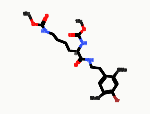 COc1cc(CCNC(=O)[C@H](CCCCNC(=O)OC(C)(C)C)NC(=O)OC(C)(C)C)c(OC)cc1Br